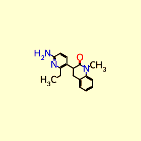 CCc1nc(N)ccc1C1Cc2ccccc2N(C)C1=O